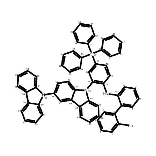 Fc1ccccc1-c1ccccc1Nc1ccc([Si](c2ccccc2)(c2ccccc2)c2ccccc2)cc1-n1c2ccccc2c2cc(-n3c4ccccc4c4ccccc43)ccc21